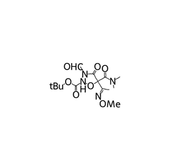 CO/N=C(\C)C(ONC(=O)OC(C)(C)C)(C(=O)N(C)C)C(=O)N(C)C=O